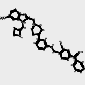 O=C(O)c1ccc2nc(CN3CCC(c4cccc(OCc5ccc(C(=O)c6cccnc6)cc5F)n4)CC3)n(CC3CCO3)c2c1